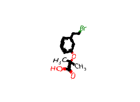 CC(C)(Oc1cccc(CCBr)c1)C(=O)O